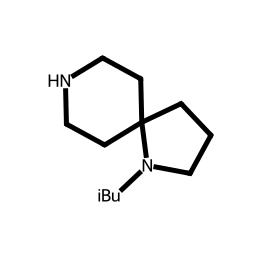 CCC(C)N1CCCC12CCNCC2